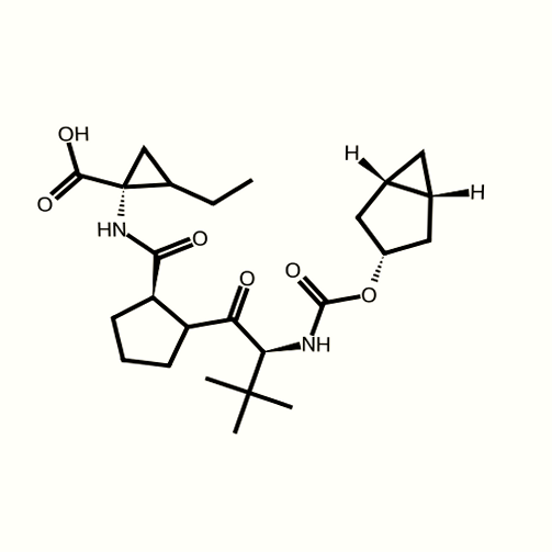 CCC1C[C@]1(NC(=O)[C@@H]1CCCC1C(=O)[C@@H](NC(=O)O[C@@H]1C[C@@H]2C[C@@H]2C1)C(C)(C)C)C(=O)O